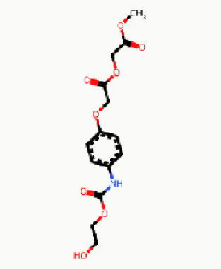 COC(=O)COC(=O)COc1ccc(NC(=O)OCCO)cc1